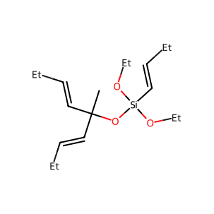 CCC=CC(C)(C=CCC)O[Si](C=CCC)(OCC)OCC